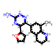 Cc1cc(-c2nnc(N)nc2-c2ccco2)cc2cccnc12